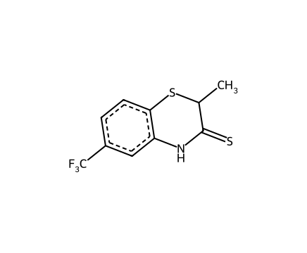 CC1Sc2ccc(C(F)(F)F)cc2NC1=S